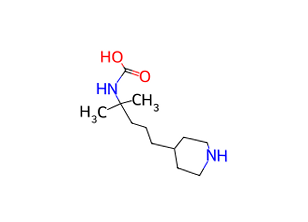 CC(C)(CCCC1CCNCC1)NC(=O)O